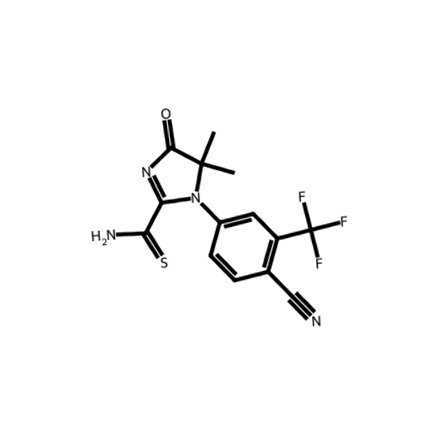 CC1(C)C(=O)N=C(C(N)=S)N1c1ccc(C#N)c(C(F)(F)F)c1